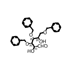 O=C[C@@H](O)[C@@H](OCc1ccccc1)[C@H](OCc1ccccc1)[C@H](O)COCc1ccccc1